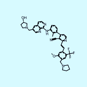 COc1cc(/C=C/c2nccc(-c3cccc(Nc4nccc5cc(CN6CC[C@@H](O)C6)cnc45)c3C)c2C#N)c(C(F)(F)F)cc1CN1CCCC1